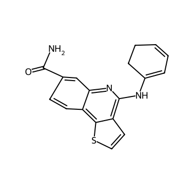 NC(=O)c1ccc2c(c1)nc(NC1=CC=CCC1)c1ccsc12